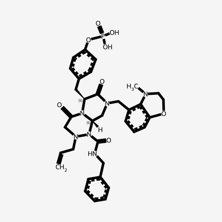 C=CCN1CC(=O)N2[C@@H](Cc3ccc(OP(=O)(O)O)cc3)C(=O)N(Cc3cccc4c3N(C)CCO4)C[C@@H]2N1C(=O)NCc1ccccc1